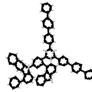 c1ccc(-c2ccc(-c3ccc(-c4nc(-c5ccc(-c6ccc(-c7ccccc7)cc6)cc5)nc(-c5ccc(-n6c7cc8ccccc8cc7c7c(-c8ccccc8)cccc76)cc5-c5cccc6oc7ccccc7c56)n4)cc3)cc2)cc1